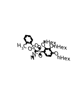 CCCCCCOc1ccc(S(=O)(=O)C(=[N+]=[N-])S(=O)(=O)c2ccccc2C)c(OCCCCCC)c1OCCCCCC